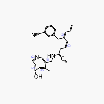 C=C=C(C/C=C\C(=C/C=C)Cc1cccc(C#N)c1)NCC1=C/N=C\C=C(O)\C=C\1C